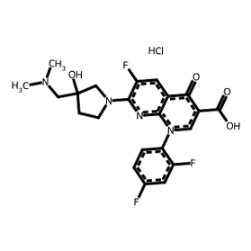 CN(C)CC1(O)CCN(c2nc3c(cc2F)c(=O)c(C(=O)O)cn3-c2ccc(F)cc2F)C1.Cl